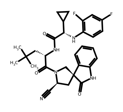 CC(C)(C)C[C@H](NC(=O)[C@@H](Nc1ccc(F)cc1F)C1CC1)C(=O)N1C[C@]2(C[C@H]1C#N)C(=O)Nc1ccccc12